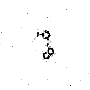 FC(F)c1nccc(OC[C@@H]2CCC3=CCCN32)n1